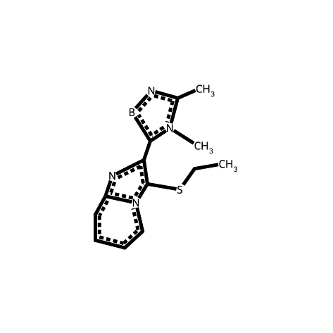 CCSc1c(-c2bnc(C)n2C)nc2ccccn12